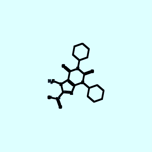 Cn1c([N+](=O)[O-])nc2c1c(=O)n(C1CCCCC1)c(=O)n2C1CCCCC1